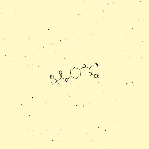 CCOC(OC1CCC(OC(=O)C(C)(C)CC)CC1)C(C)C